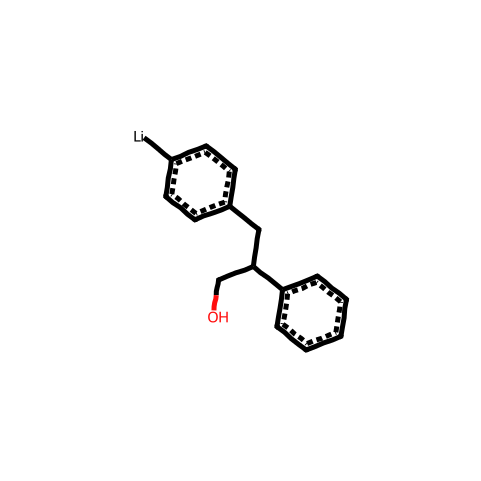 [Li][c]1ccc(CC(CO)c2ccccc2)cc1